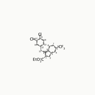 CCOC(=O)c1cc2cc(C(F)(F)F)ccc2n1Cc1ccc(Cl)c(Cl)c1